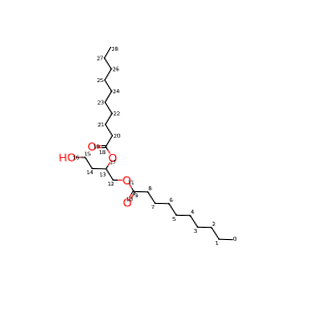 CCCCCCCCCC(=O)OCC(CCO)OC(=O)CCCCCCCCC